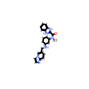 CCN(C(=O)c1nc2ccccc2[nH]1)C1CCCC(NCc2ccc3nccn3c2)C1